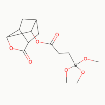 CO[Si](CCC(=O)OC1C2CC3C(=O)OC1C3C2)(OC)OC